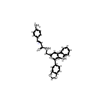 Nc1ccc(/C=C/C(=O)NCc2cc3c([nH]c4ccccc43)c(-c3ccc4c(c3)OCO4)n2)cc1